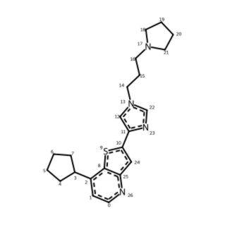 c1cc(C2CCCC2)c2sc(-c3cn(CCCN4CCCC4)cn3)cc2n1